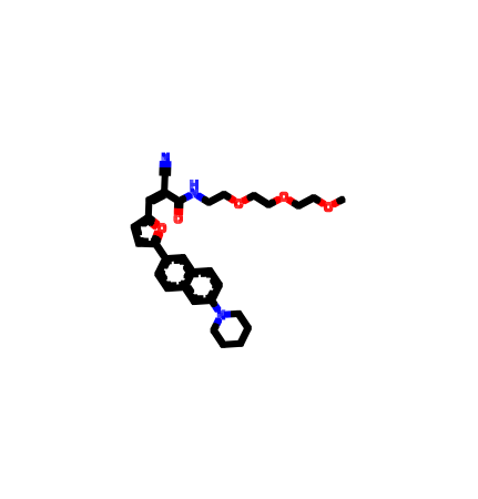 COCCOCCOCCNC(=O)C(C#N)=Cc1ccc(-c2ccc3cc(N4CCCCC4)ccc3c2)o1